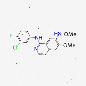 CONc1cc2c(Nc3ccc(F)c(Cl)c3)nccc2cc1OC